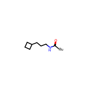 CCC(C)C(=O)NCCCC1CCC1